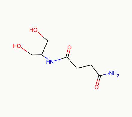 NC(=O)CCC(=O)NC(CO)CO